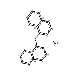 [Mn].c1ccc2c(Cc3cccc4ccccc34)cccc2c1